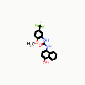 COc1ccc(C(F)(F)F)cc1NC(=O)Nc1ccc(O)c2ccccc12